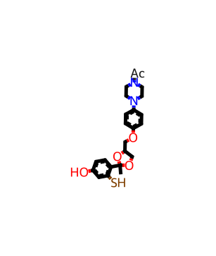 CC(=O)N1CCN(c2ccc(OCC3COC(C)(c4ccc(O)cc4S)O3)cc2)CC1